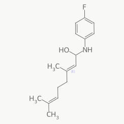 CC(C)=CCC/C(C)=C/C(O)Nc1ccc(F)cc1